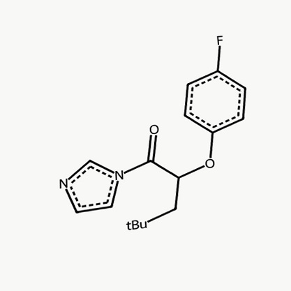 CC(C)(C)CC(Oc1ccc(F)cc1)C(=O)n1ccnc1